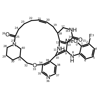 COc1c(F)cccc1Nc1c2[nH]c3c1C(=O)NCC3C/C=C\CCCC(=O)N1CCCC(COc3cnccc3-2)C1